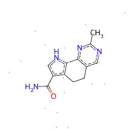 Cc1ncc2c(n1)-c1[nH]cc(C(N)=O)c1CC2